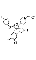 CN(C(=O)Oc1ccc(F)cc1)[C@@]1(C(=O)C2CCN(CC3CC3)CC2)CNC[C@@H]1c1ccc(Cl)c(Cl)c1